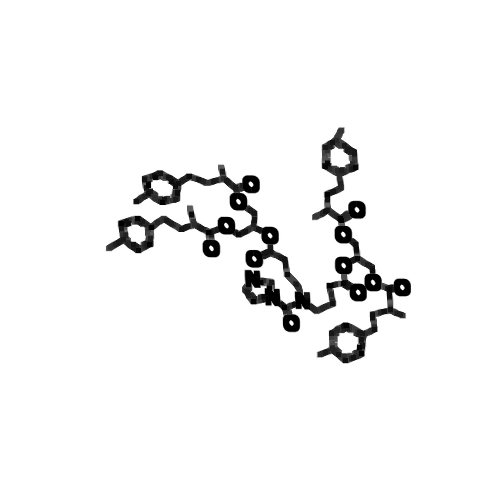 Cc1ccc(CCC(C)C(=O)OCC(COC(=O)C(C)CCc2ccc(C)cc2)OC(=O)CCCN(CCCC(=O)OC(COC(=O)C(C)CCc2ccc(C)cc2)COC(=O)C(C)CCc2ccc(C)cc2)C(=O)n2ccnc2)cc1